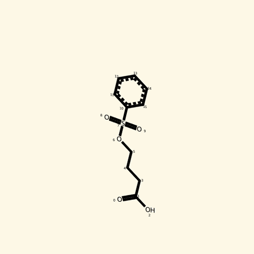 O=C(O)CCCOS(=O)(=O)c1ccccc1